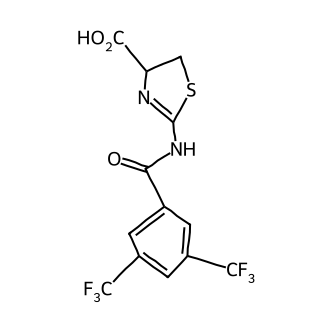 O=C(NC1=NC(C(=O)O)CS1)c1cc(C(F)(F)F)cc(C(F)(F)F)c1